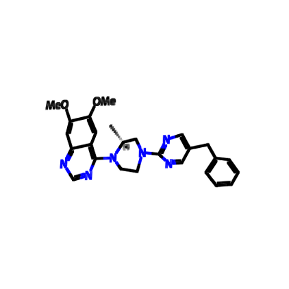 COc1cc2ncnc(N3CCN(c4ncc(Cc5ccccc5)cn4)C[C@H]3C)c2cc1OC